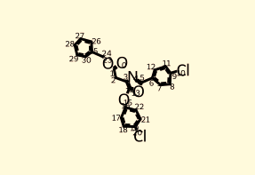 O=C(Cc1nc(-c2ccc(Cl)cc2)oc1Oc1ccc(Cl)cc1)OCc1ccccc1